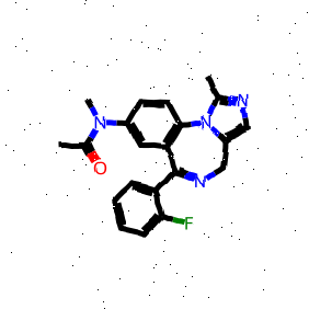 CC(=O)N(C)c1ccc2c(c1)C(c1ccccc1F)=NCc1cnc(C)n1-2